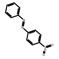 O=[SH](=O)c1ccc(N=Nc2ccccc2)cc1